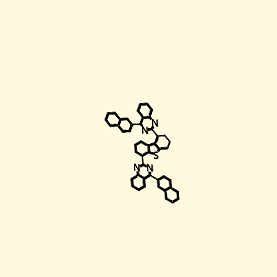 C1=c2sc3c(-c4nc(-c5ccc6ccccc6c5)c5ccccc5n4)cccc3c2=C(c2nc(-c3ccc4ccccc4c3)c3ccccc3n2)CC1